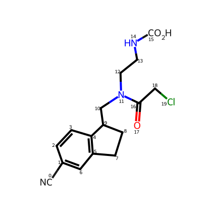 N#Cc1ccc2c(c1)CCC2CN(CCNC(=O)O)C(=O)CCl